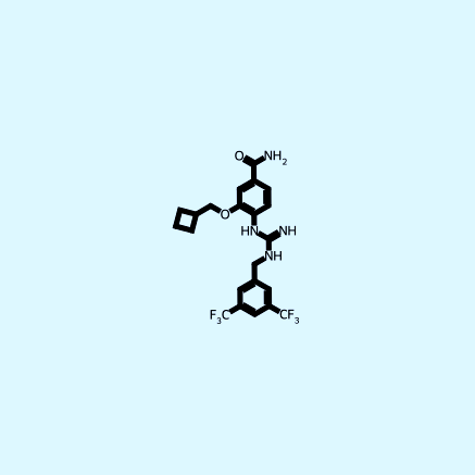 N=C(NCc1cc(C(F)(F)F)cc(C(F)(F)F)c1)Nc1ccc(C(N)=O)cc1OCC1CCC1